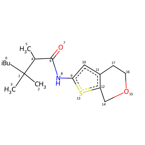 CCC(C)C(C)(C)C(C)C(=O)Nc1cc2c(s1)COCC2